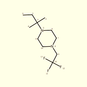 CCC(C)(C)N1CCN(CC(F)(F)F)CC1